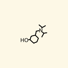 CC(C)N(CC1CCCC(O)C1)C(C)C